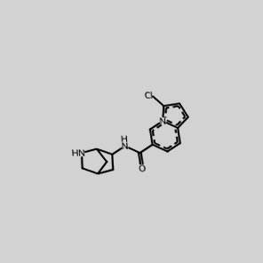 O=C(NC1CC2CNC1C2)c1ccc2ccc(Cl)n2c1